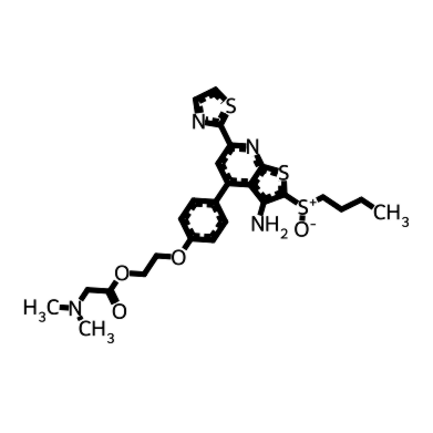 CCCC[S+]([O-])c1sc2nc(-c3nccs3)cc(-c3ccc(OCCOC(=O)CN(C)C)cc3)c2c1N